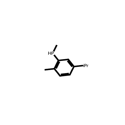 CPc1cc(C(C)C)ccc1C